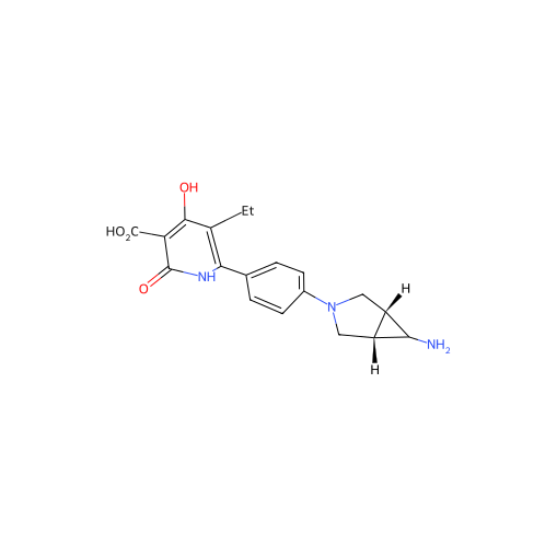 CCc1c(-c2ccc(N3C[C@@H]4C(N)[C@@H]4C3)cc2)[nH]c(=O)c(C(=O)O)c1O